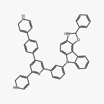 C1=CC(c2ccc(-c3cc(C4=CCNC=C4)nc(-c4cccc(-n5c6ccccc6c6c7c(ccc65)NC(c5ccccc5)O7)c4)c3)cc2)=CCN1